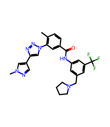 Cc1ccc(C(=O)Nc2cc(CN3CCCC3)cc(C(F)(F)F)c2)cc1-n1cc(-c2cnn(C)c2)nn1